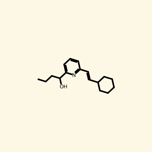 CCCC(O)c1cccc(/C=C/C2CCCCC2)n1